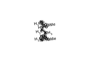 COC1=CC=c2c(nc(NCCN(C)CCCN(C)CCNc3nc4cc(OC)ccc4c4c3C(=O)c3c-4ccnc3C)c3c2=c2ccnc(C)c2=C3)C1=O